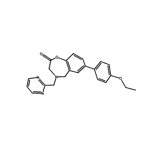 CCOc1ccc(-c2ccc3c(c2)CN(Cc2ncccn2)CC(=O)O3)cc1